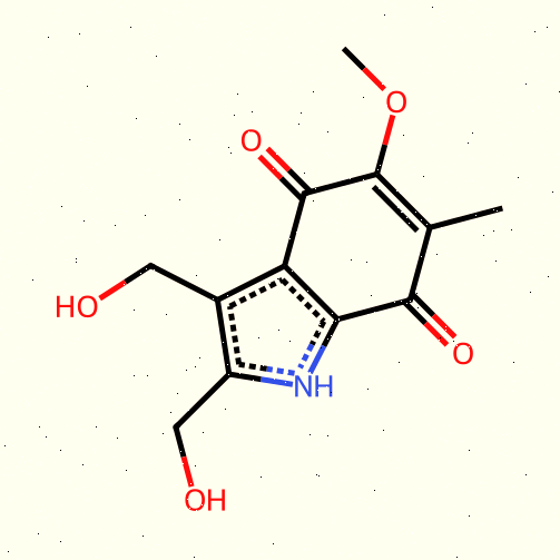 COC1=C(C)C(=O)c2[nH]c(CO)c(CO)c2C1=O